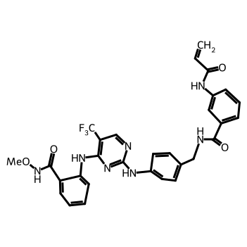 C=CC(=O)Nc1cccc(C(=O)NCc2ccc(Nc3ncc(C(F)(F)F)c(Nc4ccccc4C(=O)NOC)n3)cc2)c1